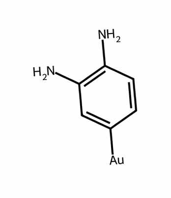 Nc1cc[c]([Au])cc1N